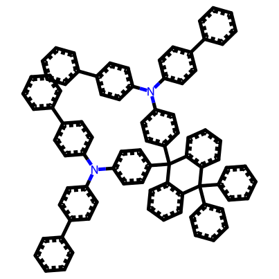 c1ccc(-c2ccc(N(c3ccc(-c4ccccc4)cc3)c3ccc(C4(c5ccc(N(c6ccc(-c7ccccc7)cc6)c6ccc(-c7ccccc7)cc6)cc5)c5ccccc5C(c5ccccc5)(c5ccccc5)c5ccccc54)cc3)cc2)cc1